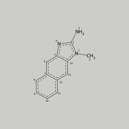 Cn1c(N)nc2cc3ccccc3cc21